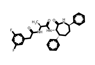 C[C@H](NC(=O)Cc1cc(F)cc(F)c1)C(=O)N[C@@H]1C(=O)N[C@@H](c2ccccc2)CC[C@@H]1c1ccccc1